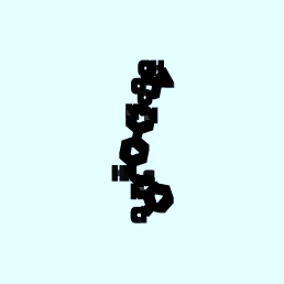 O=C(O)C1(COc2ncc(-c3ccc(Nc4nc5c(Cl)cccc5s4)cc3)cn2)CC1